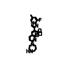 Cc1cc(F)c2nc(-c3cc4ccc(N5CCCNCC5)nc4oc3=O)cn2c1.Cl